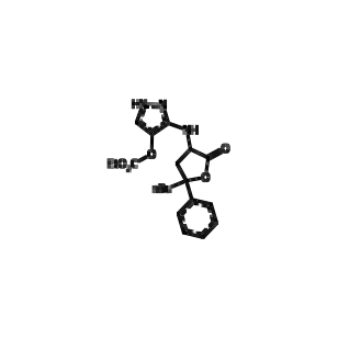 CCCCC1(c2ccccc2)CC(Nc2n[nH]cc2OC(=O)OCC)C(=O)O1